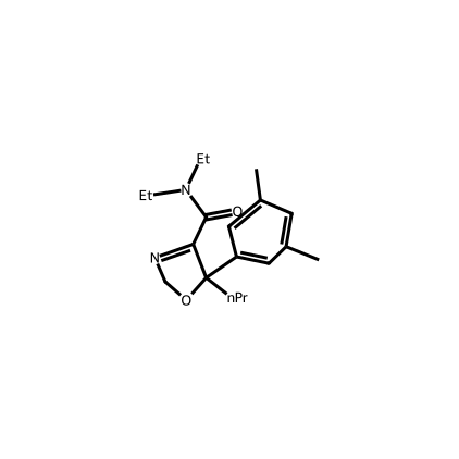 CCCC1(c2cc(C)cc(C)c2)OCN=C1C(=O)N(CC)CC